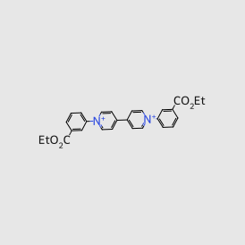 CCOC(=O)c1cccc(-[n+]2ccc(-c3cc[n+](-c4cccc(C(=O)OCC)c4)cc3)cc2)c1